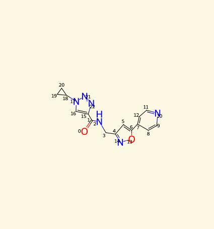 O=C(NCc1cc(-c2ccncc2)on1)c1cn(C2CC2)nn1